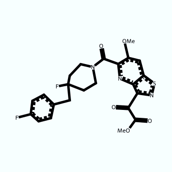 COC(=O)C(=O)c1nsc2cc(OC)c(C(=O)N3CCC(F)(Cc4ccc(F)cc4)CC3)nc12